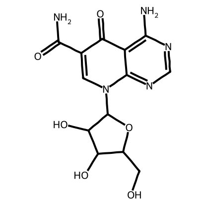 NC(=O)c1cn(C2OC(CO)C(O)C2O)c2ncnc(N)c2c1=O